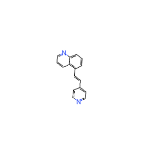 C(=Cc1cccc2ncccc12)c1ccncc1